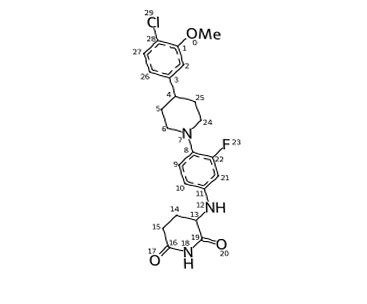 COc1cc(C2CCN(c3ccc(NC4CCC(=O)NC4=O)cc3F)CC2)ccc1Cl